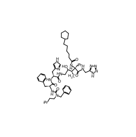 CC(C)CCN(Cc1ccccc1)C(=O)N[C@@H](Cc1ccccc1)C(=O)N[C@@H](Cc1c[nH]cn1)C(=O)NCC(O)[C@H](C)[C@](NC(=O)CCCCCC1CCCCC1)(C(=O)NCc1nnn[nH]1)C(C)C